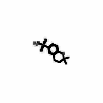 CC1(C)CCc2cc(S(N)(=O)=O)ccc2O1